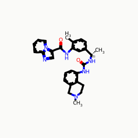 Cc1ccc([C@H](C)NC(=O)Nc2cccc3c2CCN(C)C3)cc1NC(=O)c1cnc2ccccn12